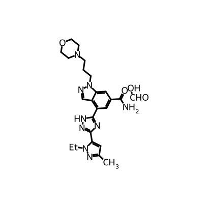 CCn1nc(C)cc1-c1n[nH]c(-c2cc(C(N)=O)cc3c2cnn3CCCN2CCOCC2)n1.O=CO